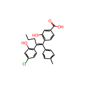 CCC/C(=C(/c1ccc(C)cc1)c1ccc(C(=O)O)cc1O)c1ccc(Cl)cc1O